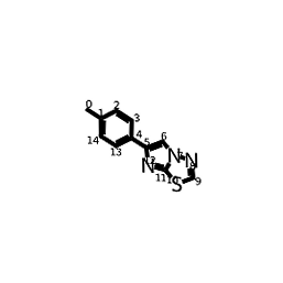 Cc1ccc(-c2cn3ncsc3n2)cc1